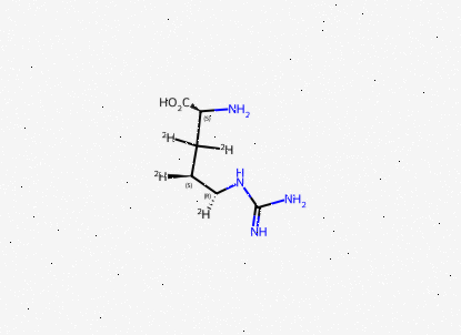 [2H][C@H]([C@@H]([2H])NC(=N)N)C([2H])([2H])[C@H](N)C(=O)O